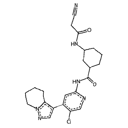 N#CCC(=O)NC1CCCC(C(=O)Nc2cc(-c3cnn4c3CCCC4)c(Cl)cn2)C1